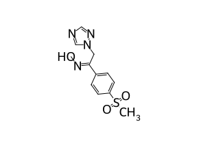 CS(=O)(=O)c1ccc(/C(Cn2cncn2)=N/O)cc1